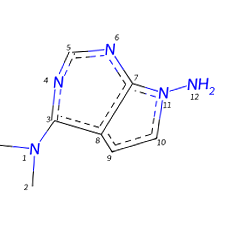 CN(C)c1ncnc2c1ccn2N